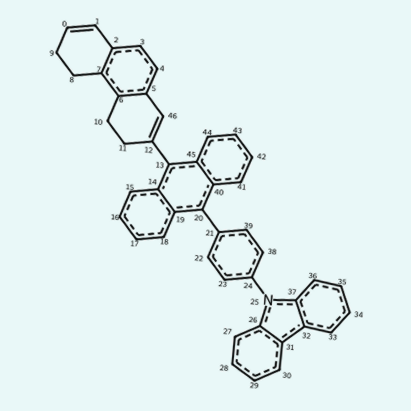 C1=Cc2ccc3c(c2CC1)CCC(c1c2ccccc2c(-c2ccc(-n4c5ccccc5c5ccccc54)cc2)c2ccccc12)=C3